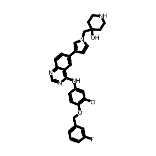 OC1(Cn2ccc(-c3ccc4ncnc(Nc5ccc(OCc6cccc(F)c6)c(Cl)c5)c4c3)c2)CCNCC1